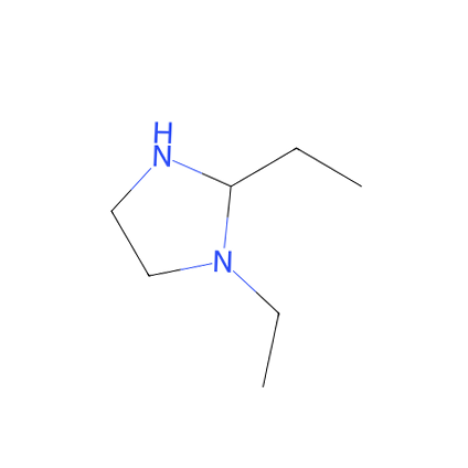 CCC1NCCN1CC